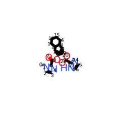 Cn1ccnc1C(=O)OC1C2CC(C3CCCCC32)C1OC(=O)c1ncc[nH]1